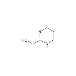 OCC1=NCCCN1